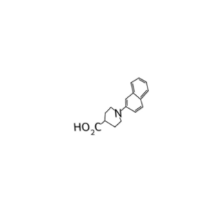 O=C(O)C1CCN(c2ccc3ccccc3c2)CC1